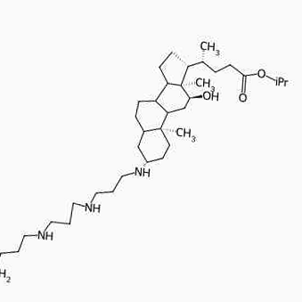 CC(C)OC(=O)CC[C@@H](C)[C@H]1CCC2C3CCC4C[C@@H](NCCCNCCCNCCCN)CC[C@]4(C)C3C[C@H](O)[C@@]21C